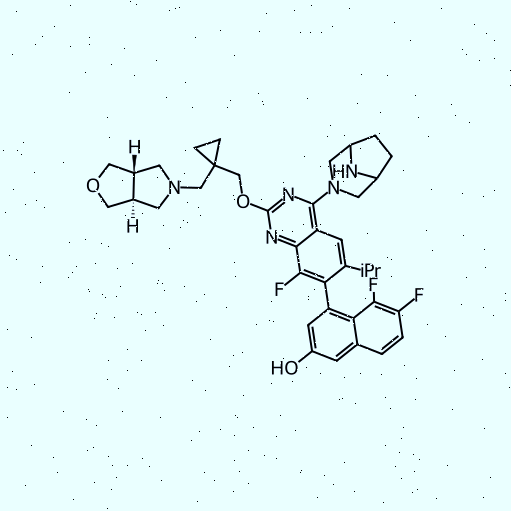 CC(C)c1cc2c(N3CC4CCC(C3)N4)nc(OCC3(CN4C[C@H]5COC[C@@H]5C4)CC3)nc2c(F)c1-c1cc(O)cc2ccc(F)c(F)c12